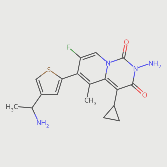 Cc1c(-c2cc(C(C)N)cs2)c(F)cn2c(=O)n(N)c(=O)c(C3CC3)c12